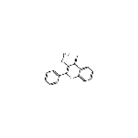 O=C(O)Oc1c(-c2ccccc2)oc2ccccc2c1=O